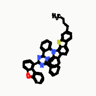 CCCCc1ccc2c(c1)sc1c2ccc2c3ccccc3n(-c3ccccc3-c3nc(-c4ccccc4)nc(-c4cccc5oc6ccccc6c45)n3)c21